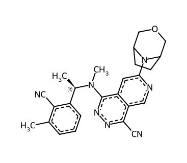 Cc1cccc([C@@H](C)N(C)c2nnc(C#N)c3cnc(N4C5CCC4COC5)cc23)c1C#N